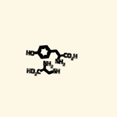 N[C@@H](CS)C(=O)O.N[C@@H](Cc1ccc(O)cc1)C(=O)O